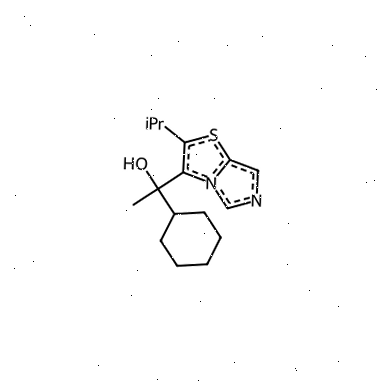 CC(C)c1sc2cncn2c1C(C)(O)C1CCCCC1